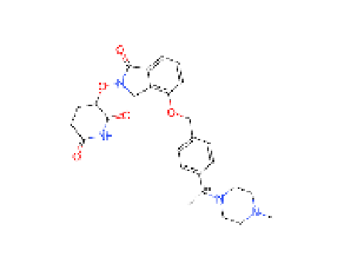 C[C@H](c1ccc(COc2cccc3c2CN(OC2CCC(=O)NC2=O)C3=O)cc1)N1CCN(C)CC1